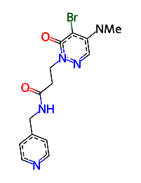 CNc1cnn(CCC(=O)NCc2ccncc2)c(=O)c1Br